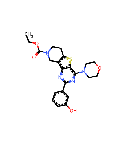 CCOC(=O)N1CCc2sc3c(N4CCOCC4)nc(-c4cccc(O)c4)nc3c2C1